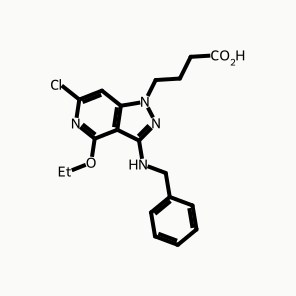 CCOc1nc(Cl)cc2c1c(NCc1ccccc1)nn2CCCC(=O)O